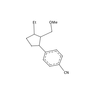 [CH2]CC1C[CH]C(c2ccc(C#N)cc2)C1COC